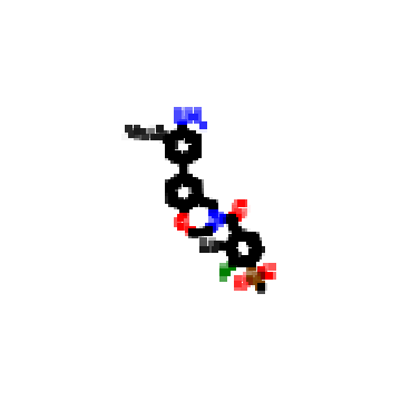 CCc1c(C(=O)N2CCOc3ccc(-c4ccc(N)c(OC)c4)cc3C2)ccc(S(C)(=O)=O)c1F